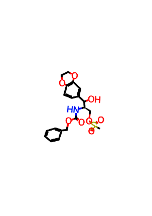 CS(=O)(=O)OC[C@@H](NC(=O)OCc1ccccc1)C(O)c1ccc2c(c1)OCCO2